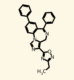 CCc1noc(-c2ncn3c2CN=C(c2ccccc2)c2cc(-c4ccccc4)ccc2-3)n1